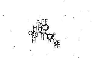 O=C1NC[C@@H](C(=O)NC(c2cnc(OCC(F)(F)F)c(F)c2)c2ccc(F)c(C(F)(F)F)n2)N1